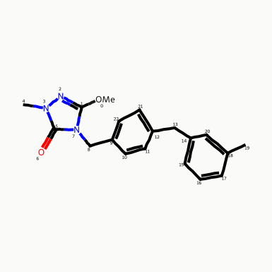 COc1nn(C)c(=O)n1Cc1ccc(Cc2cccc(C)c2)cc1